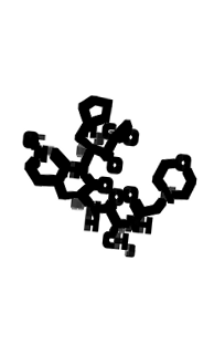 C[C@H](NC(=O)CN1CCOCC1)C(=O)N[C@@H](Cc1cc[n+]([O-])cc1)C(=O)N[C@@H](CC1CCCC1)C(=O)[C@]1(C)CO1